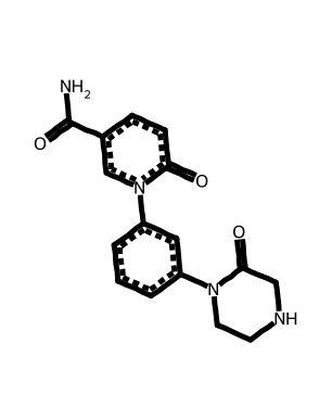 NC(=O)c1ccc(=O)n(-c2cccc(N3CCNCC3=O)c2)c1